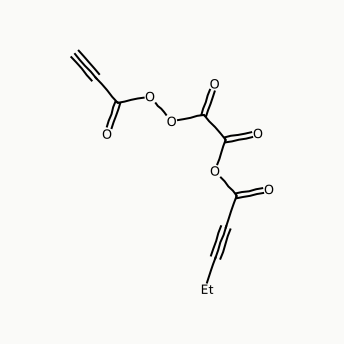 C#CC(=O)OOC(=O)C(=O)OC(=O)C#CCC